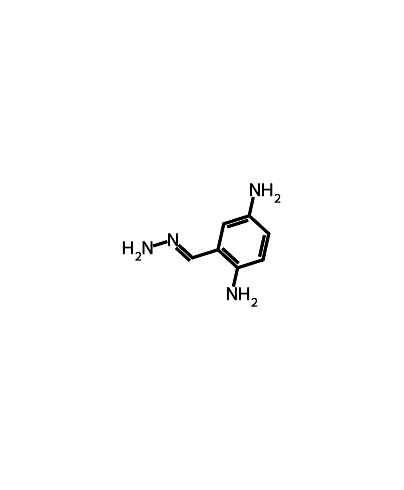 NN=Cc1cc(N)ccc1N